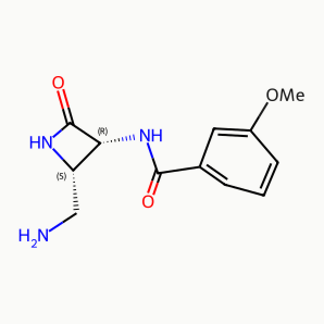 COc1cccc(C(=O)N[C@H]2C(=O)N[C@H]2CN)c1